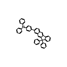 c1ccc(N(c2ccccc2)c2ccc(-c3ccc4cc5c(cc4c3)C(c3ccccc3)(c3ccccc3)c3ccccc3-5)cc2)cc1